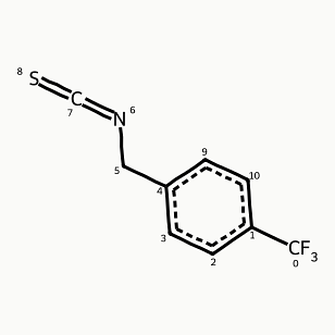 FC(F)(F)c1ccc(CN=C=S)cc1